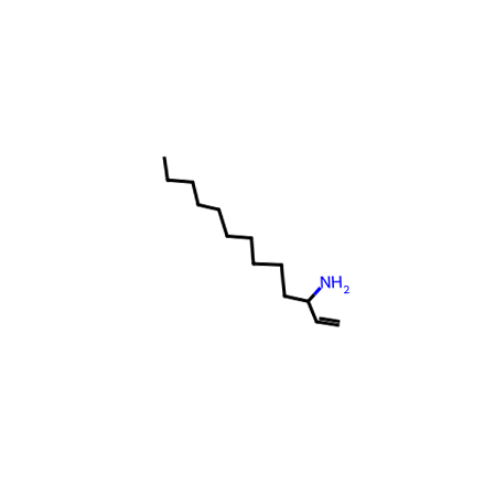 C=CC(N)CCCCCCCCCC